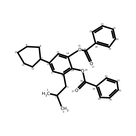 CC(C)Cc1cc(C2CCCCC2)cc(OC(=O)c2ccccc2)c1OC(=O)c1ccccc1